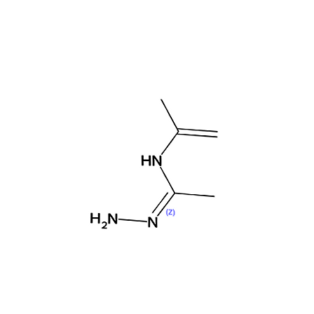 C=C(C)N/C(C)=N\N